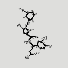 O=C(O)CC(NC(=O)c1cc(O)n(-c2cccc(F)c2)n1)c1ccc(Cl)c(Cl)c1